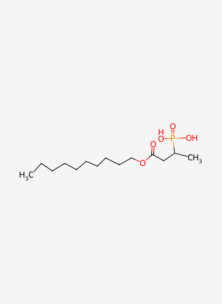 CCCCCCCCCCOC(=O)CC(C)P(=O)(O)O